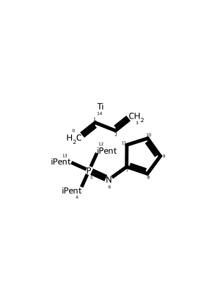 C=CC=C.CCCC(C)P(=NC1=CC=CC1)(C(C)CCC)C(C)CCC.[Ti]